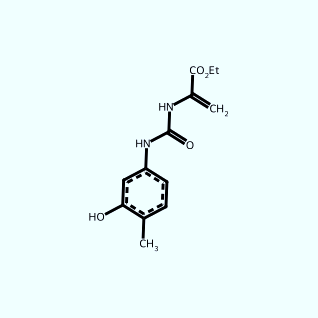 C=C(NC(=O)Nc1ccc(C)c(O)c1)C(=O)OCC